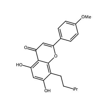 COc1ccc(-c2cc(=O)c3c(O)cc(O)c(CCC(C)C)c3o2)cc1